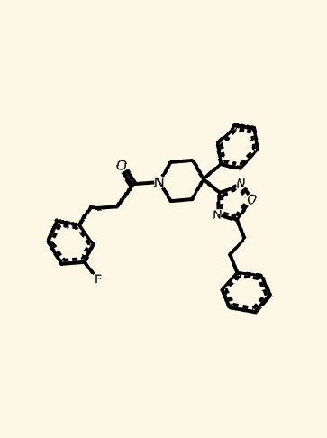 O=C(CCc1cccc(F)c1)N1CCC(c2ccccc2)(c2noc(CCc3ccccc3)n2)CC1